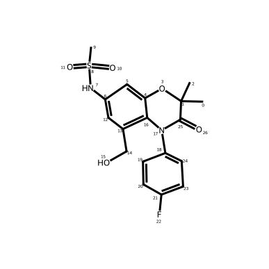 CC1(C)Oc2cc(NS(C)(=O)=O)cc(CO)c2N(c2ccc(F)cc2)C1=O